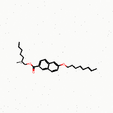 CCCCCCCCOc1ccc2cc(C(=O)OC[C@@H](C)CCCCC)ccc2c1